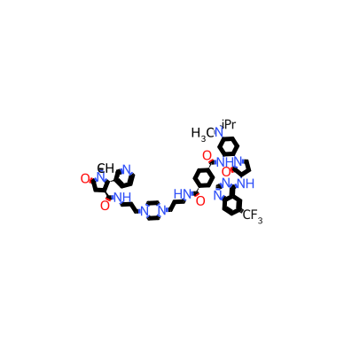 CC(C)N(C)[C@@H]1CC[C@H](N2CC[C@H](Nc3ncnc4ccc(C(F)(F)F)cc34)C2=O)[C@H](NC(=O)[C@H]2CC[C@@H](C(=O)NCCCN3CCN(CCCNC(=O)[C@H]4CC(=O)N(C)[C@@H]4c4cccnc4)CC3)CC2)C1